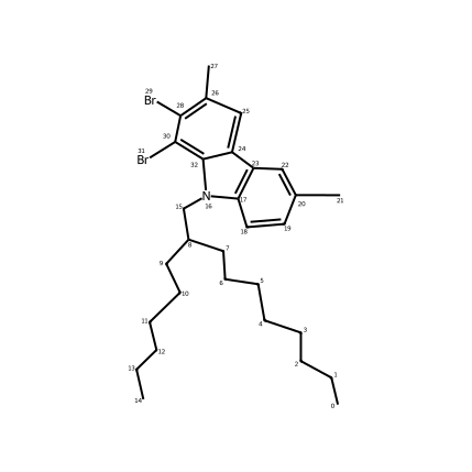 CCCCCCCCC(CCCCCC)Cn1c2ccc(C)cc2c2cc(C)c(Br)c(Br)c21